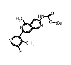 Cc1c(F)cncc1-c1cc2cnc(NC(=O)OC(C)(C)C)cc2c(C)n1